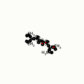 CC1Cc2ccccc2-c2cc(N(c3ccc(-c4sc(-c5cc6oc7cc(-c8sc(-c9ccc(N(c%10ccc%11c(c%10)c%10ccccc%10n%11C)c%10ccc%11c(c%10)c%10ccccc%10n%11C)cc9)c9c8OCCO9)c8ccccc8c7c6c6ccccc56)c5c4OCCO5)cc3)c3ccc4c(c3)c3ccccc3n4C)ccc21